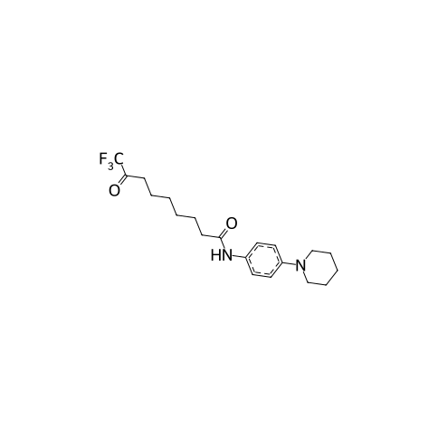 O=C(CCCCCCC(=O)C(F)(F)F)Nc1ccc(N2CCCCC2)cc1